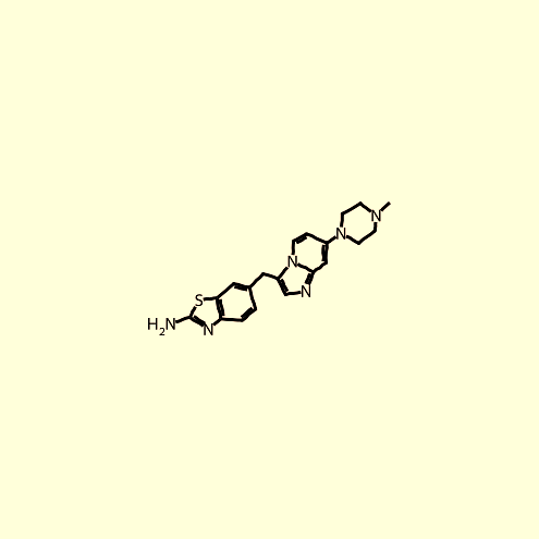 CN1CCN(c2ccn3c(Cc4ccc5nc(N)sc5c4)cnc3c2)CC1